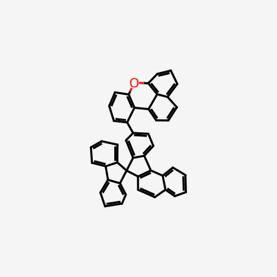 c1ccc2c(c1)-c1ccccc1C21c2cc(-c3cccc4c3-c3cccc5cccc(c35)O4)ccc2-c2c1ccc1ccccc21